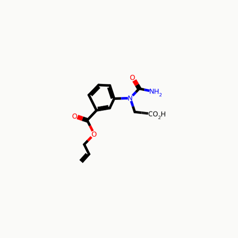 C=CCOC(=O)c1cccc(N(CC(=O)O)C(N)=O)c1